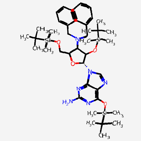 CC(C)(C)[Si](C)(C)OCC1O[C@@H](n2cnc3c(O[Si](C)(C)C(C)(C)C)nc(N)nc32)C(O[Si](C)(C)C(C)(C)C)C1N(Cc1ccccc1)Cc1ccccc1